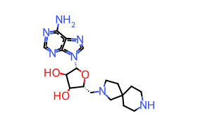 Nc1ncnc2c1ncn2[C@@H]1O[C@H](CN2CCC3(CCNCC3)C2)[C@@H](O)[C@H]1O